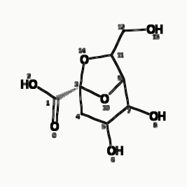 O=C(O)[C@@]12CC(O)C(O)C(O1)C(CO)O2